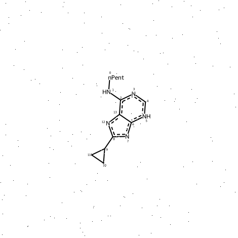 CCCCCNc1nc[nH]c2nc(C3CC3)nc1-2